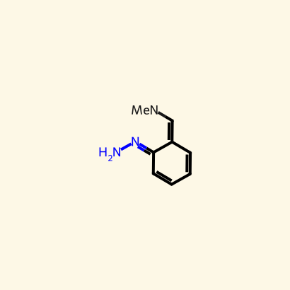 CN/C=C1/C=CC=C/C1=N\N